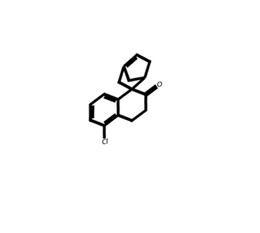 O=C1CCc2c(Cl)cccc2C12CC1=CCC2C1